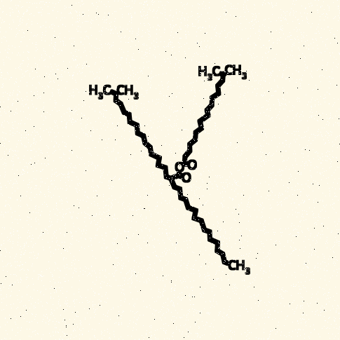 CCCCCCCCCCCCCCCCC(CCCCCCCCCCCCCCCC(C)C)C(=O)OC(=O)CCCCCCCCCCCCCCC(C)C